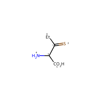 CCC(=S)C(N)C(=O)O